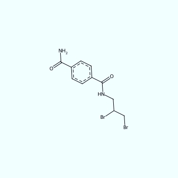 NC(=O)c1ccc(C(=O)NCC(Br)CBr)cc1